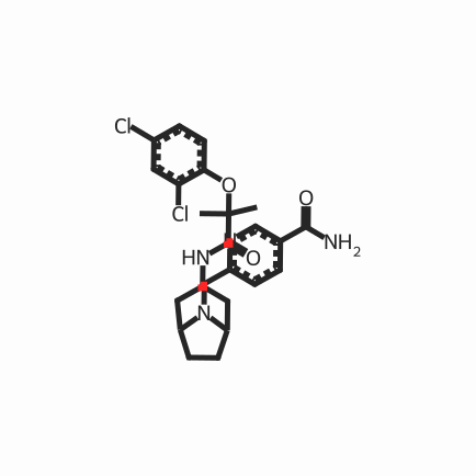 CC(C)(Oc1ccc(Cl)cc1Cl)C(=O)NC1CC2CCC(C1)N2Cc1ccc(C(N)=O)cn1